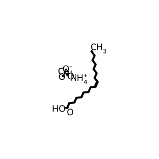 CCCCCCCC/C=C\CCCCCCCC(=O)O.O=[N+]([O-])[O-].[Ce].[NH4+]